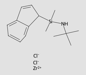 CC(C)(C)N[Si](C)(C)C1C=Cc2ccccc21.[Cl-].[Cl-].[Zr+2]